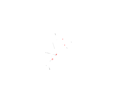 C=C1C(=O)[C@@]23CC[C@@H](CC2C24CCC[C@@](C)(COC2=O)C14)C(=C)[C@@H]3O